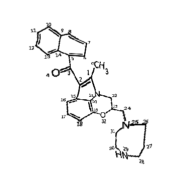 Cc1c(C(=O)c2cccc3ccccc23)c2cccc3c2n1CC(CN1CCCNCC1)O3